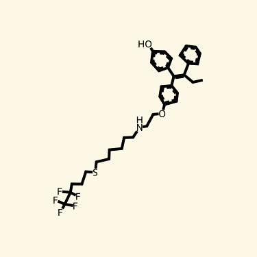 CC/C(=C(/c1ccc(O)cc1)c1ccc(OCCNCCCCCCSCCCC(F)(F)C(F)(F)F)cc1)c1ccccc1